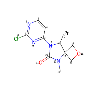 CC(C)C1N(c2ccnc(Cl)n2)C(=O)N(C)C12COC2